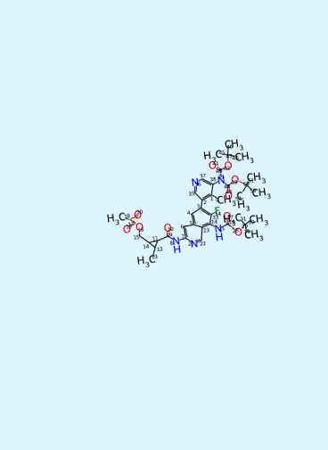 Cc1c(-c2cc3cc(NC(=O)C4C(C)C4COS(C)(=O)=O)ncc3c(NC(=O)OC(C)(C)C)c2F)cncc1N(C(=O)OC(C)(C)C)C(=O)OC(C)(C)C